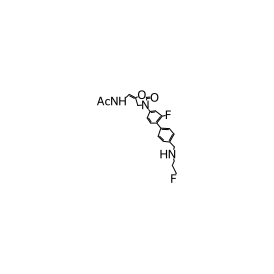 CC(=O)N/C=C1\CN(c2ccc(-c3ccc(CNCCCF)cc3)c(F)c2)C(=O)O1